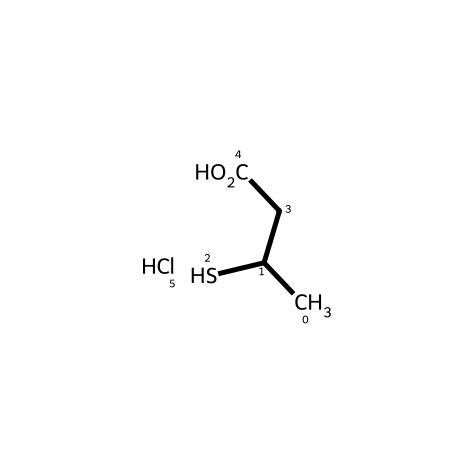 CC(S)CC(=O)O.Cl